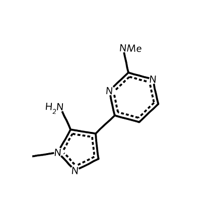 CNc1nccc(-c2cnn(C)c2N)n1